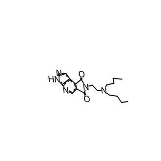 CCCCN(CCCC)CCN1C(=O)c2cnc3[nH]ncc3c2C1=O